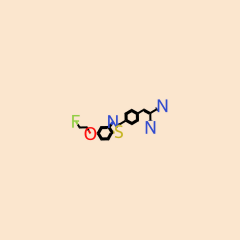 N#CC(C#N)=Cc1ccc(-c2nc3cc(OCCF)ccc3s2)cc1